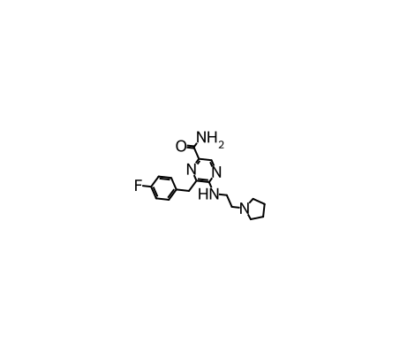 NC(=O)c1cnc(NCCN2CCCC2)c(Cc2ccc(F)cc2)n1